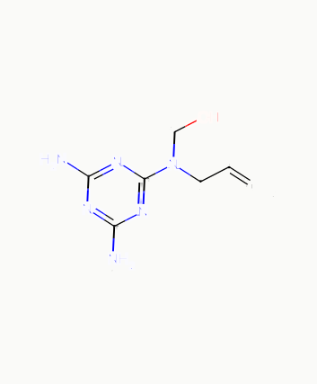 C=CCN(CO)c1nc(N)nc(N)n1